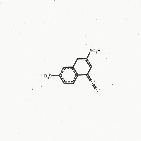 [N-]=[N+]=C1C=C(S(=O)(=O)O)Cc2cc(S(=O)(=O)O)ccc21